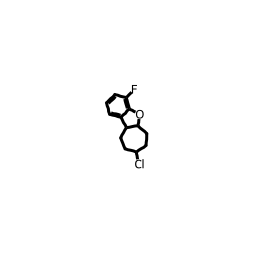 Fc1cccc2c1OC1CCC(Cl)CCC21